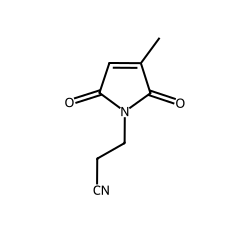 CC1=CC(=O)N(CCC#N)C1=O